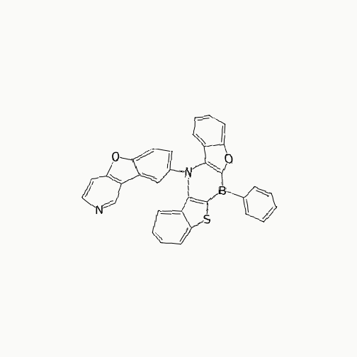 c1ccc(B2c3oc4ccccc4c3N(c3ccc4oc5ccncc5c4c3)c3c2sc2ccccc32)cc1